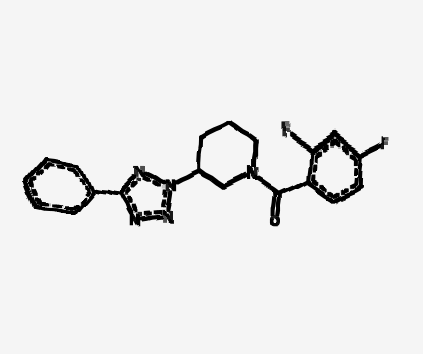 O=C(c1ccc(F)cc1F)N1CCCC(n2nnc(-c3ccccc3)n2)C1